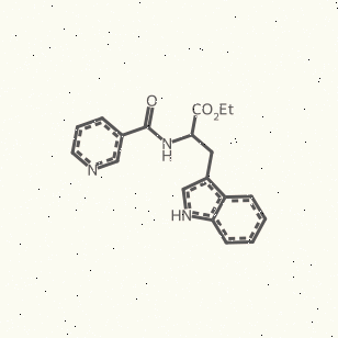 CCOC(=O)C(Cc1c[nH]c2ccccc12)NC(=O)c1cccnc1